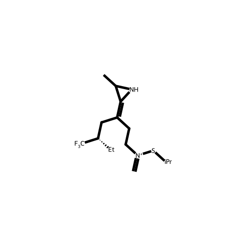 C=[N+](CCC(C[C@H](CC)C(F)(F)F)=C1NC1C)SC(C)C